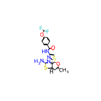 C[C@H]1C[C@H]2CSC(N)=N[C@@]2(c2nc(NC(=O)c3ccc(OC(F)F)cc3)cs2)CO1